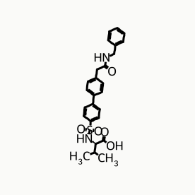 CC(C)[C@@H](NS(=O)(=O)c1ccc(-c2ccc(CC(=O)NCc3ccccc3)cc2)cc1)C(=O)O